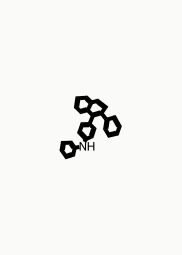 c1ccc(Nc2ccc(-c3c(-c4ccccc4)ccc4ccccc34)cc2)cc1